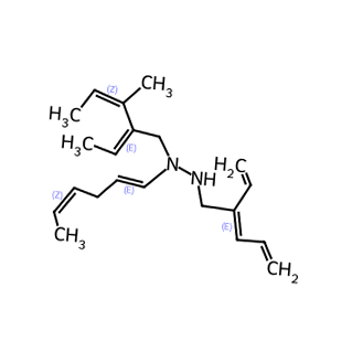 C=C/C=C(\C=C)CNN(/C=C/C/C=C\C)CC(=C/C)/C(C)=C\C